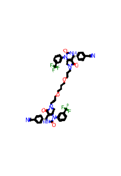 N#Cc1ccc([C@H]2NC(=O)N(c3cccc(C(F)(F)F)c3)C3=C2C(=O)N(CCCOCCCCOCCCN2CC4=C(C2=O)[C@@H](c2ccc(C#N)cc2)NC(=O)N4c2cccc(C(F)(F)F)c2)C3)cc1